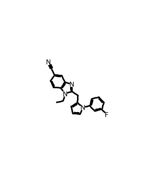 CCn1c(Cc2cccn2-c2cccc(F)c2)nc2cc(C#N)ccc21